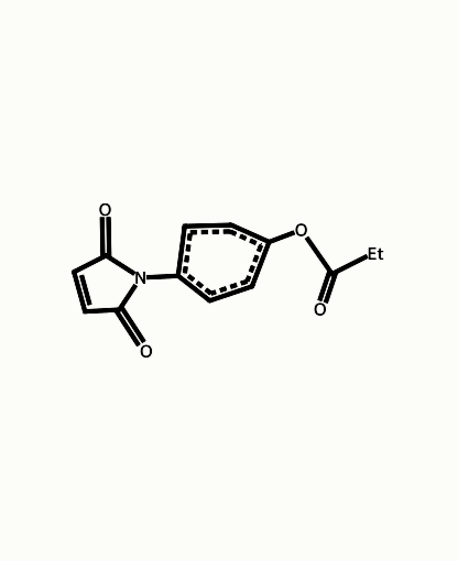 CCC(=O)Oc1ccc(N2C(=O)C=CC2=O)cc1